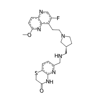 COc1ccc2ncc(F)c(CCN3CC[C@@H](CNCc4ccc5c(n4)NC(=O)CS5)C3)c2n1